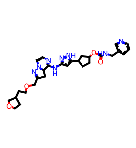 O=C(NCc1cccnc1)OC1CCC(c2cc(NC3=NC=CN4N=C(COCCC5CCOC5)CC34)n[nH]2)C1